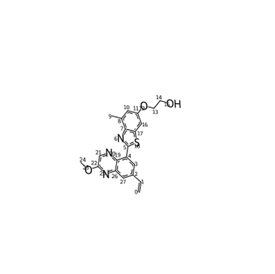 C=Cc1cc(-c2nc3c(C)cc(OCCO)cc3s2)c2ncc(OC)nc2c1